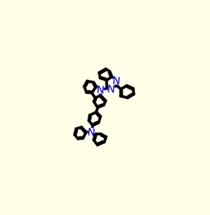 c1ccc(-c2nc(-n3c4ccccc4c4cc(-c5ccc(N(c6ccccc6)c6ccccc6)cc5)ccc43)c3ccccc3n2)cc1